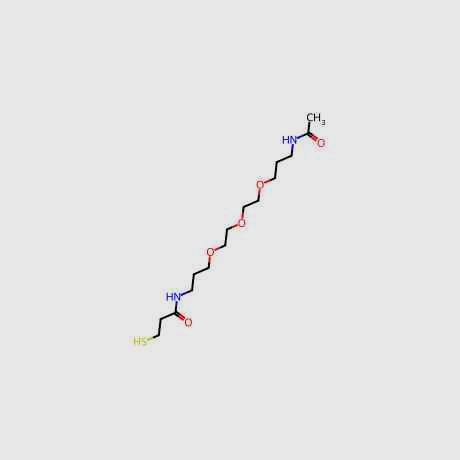 CC(=O)NCCCOCCOCCOCCCNC(=O)CCS